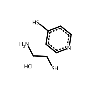 Cl.NCCS.Sc1ccncc1